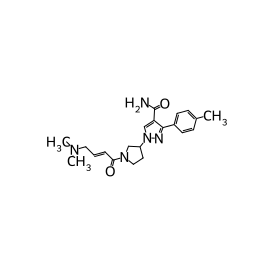 Cc1ccc(-c2nn(C3CCN(C(=O)/C=C/CN(C)C)C3)cc2C(N)=O)cc1